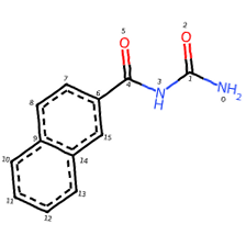 NC(=O)NC(=O)c1ccc2ccccc2c1